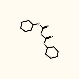 O=C(OC1CCCCC1)SC(=O)OC1CCCCC1